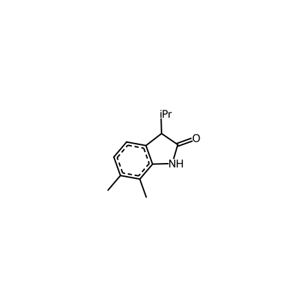 Cc1ccc2c(c1C)NC(=O)C2C(C)C